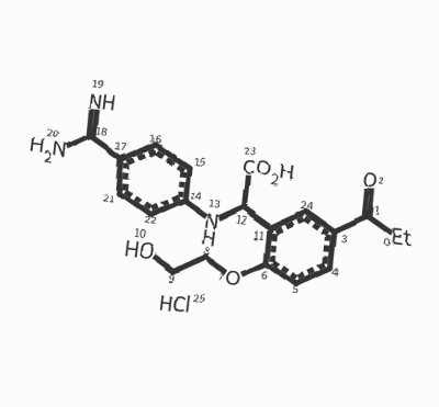 CCC(=O)c1ccc(OCCO)c(C(Nc2ccc(C(=N)N)cc2)C(=O)O)c1.Cl